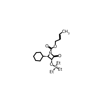 CC=CCOC(=O)N1C(=O)[C@@H](O[Si](CC)(CC)CC)[C@H]1C1CCCCC1